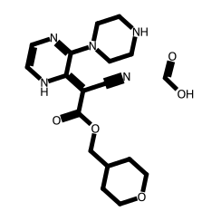 N#C/C(C(=O)OCC1CCOCC1)=C1/NC=CN=C1N1CCNCC1.O=CO